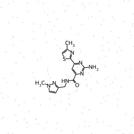 Cc1csc(-c2cc(C(=O)NCc3ccn(C)n3)nc(N)n2)n1